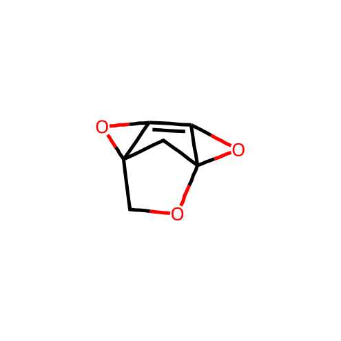 C1OC23CC14OC4=C2O3